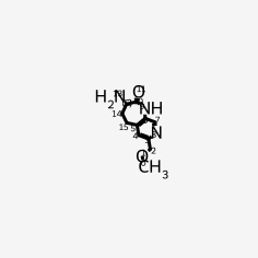 COCc1cc2c(cn1)NC(=O)[C@@H](N)CC2